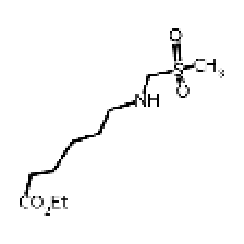 CCOC(=O)CCCCCNCS(C)(=O)=O